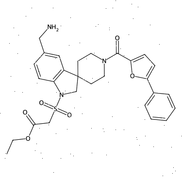 CCOC(=O)CS(=O)(=O)N1CC2(CCN(C(=O)c3ccc(-c4ccccc4)o3)CC2)c2cc(CN)ccc21